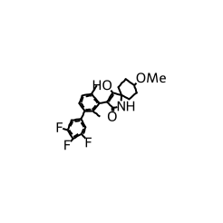 COC1CCC2(CC1)NC(=O)C(c1c(C)ccc(-c3cc(F)c(F)c(F)c3)c1C)=C2O